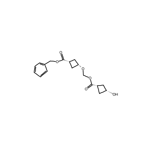 O=C(OCO[C@H]1C[C@@H](C(=O)OCc2ccccc2)C1)[C@H]1C[C@@H](O)C1